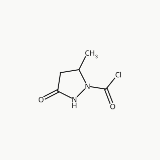 CC1CC(=O)NN1C(=O)Cl